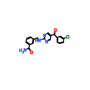 NC(=O)c1cccc(CNc2ncc(C(=O)c3cccc(Cl)c3)cn2)c1